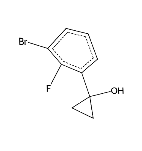 OC1(c2cccc(Br)c2F)CC1